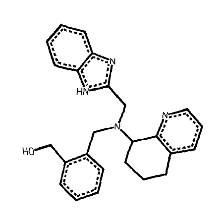 OCc1ccccc1CN(Cc1nc2ccccc2[nH]1)C1CCCc2cccnc21